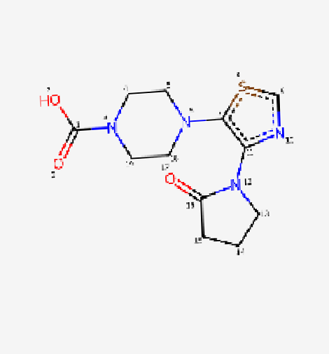 O=C(O)N1CCN(c2scnc2N2CCCC2=O)CC1